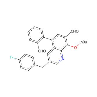 CCCCOc1c(C=O)cc(-c2ccccc2C=O)c2cc(Cc3ccc(F)cc3)cnc12